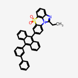 CCc1nc2cccc3c2n1-c1ccc(-c2c4ccccc4c(-c4cccc(-c5ccccc5)c4)c4ccccc24)cc1S3(=O)=O